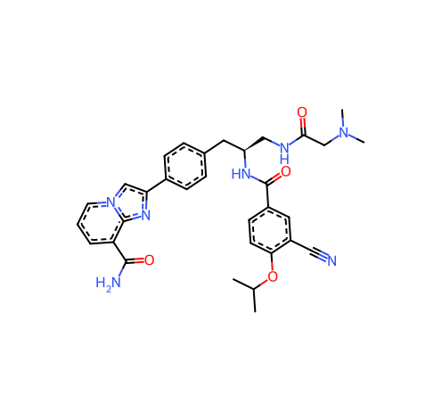 CC(C)Oc1ccc(C(=O)N[C@H](CNC(=O)CN(C)C)Cc2ccc(-c3cn4cccc(C(N)=O)c4n3)cc2)cc1C#N